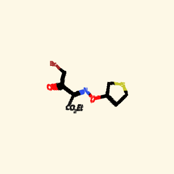 CCOC(=O)/C(=N\OC1CCSC1)C(=O)CBr